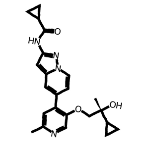 Cc1cc(-c2ccn3nc(NC(=O)C4CC4)cc3c2)c(OC[C@](C)(O)C2CC2)cn1